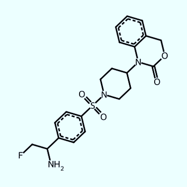 NC(CF)c1ccc(S(=O)(=O)N2CCC(N3C(=O)OCc4ccccc43)CC2)cc1